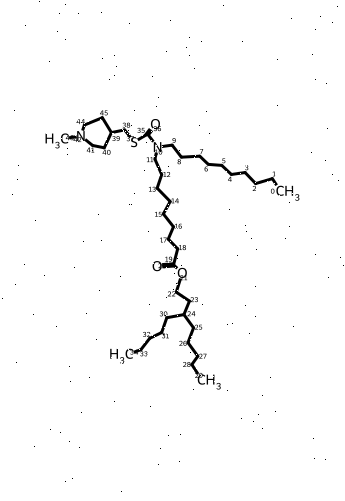 CCCCCCCCCCN(CCCCCCCCC(=O)OCCC(CCCCC)CCCCC)C(=O)SCC1CCN(C)CC1